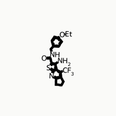 CCOc1ccc(CNC(=O)c2sc3nc4c(c(C(F)(F)F)c3c2N)CCC4)cc1